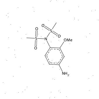 COc1cc(N)ccc1N(S(C)(=O)=O)S(C)(=O)=O